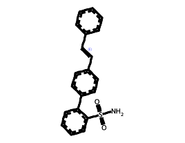 NS(=O)(=O)c1ccccc1-c1ccc(/C=C/c2ccccc2)cc1